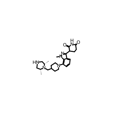 C[C@@H]1CNC[C@H](C)N1CC1CCN(c2cccc3c(C4CCC(=O)NC4=O)nn(C)c23)CC1